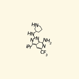 CC(C)c1nc(NC2CCCNC2)nc2c(N)nc(C(F)(F)F)cc12